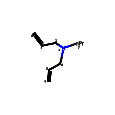 C=CCN(CC=C)CCC